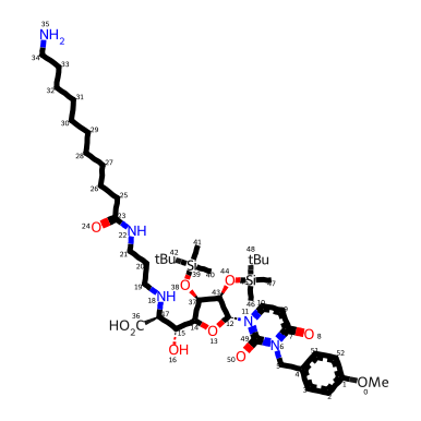 COc1ccc(Cn2c(=O)ccn([C@@H]3OC([C@H](O)[C@H](NCCCNC(=O)CCCCCCCCCCN)C(=O)O)[C@@H](O[Si](C)(C)C(C)(C)C)[C@H]3O[Si](C)(C)C(C)(C)C)c2=O)cc1